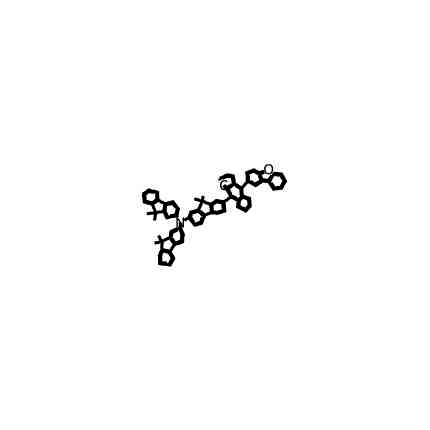 CC1(C)c2ccccc2-c2ccc(N(c3ccc4c(c3)C(C)(C)c3ccccc3-4)c3ccc4c(c3)C(C)(C)c3cc(-c5c6ccccc6c(-c6ccc7oc8ccccc8c7c6)c6ccccc56)ccc3-4)cc21